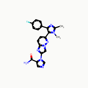 Cc1nc(-c2ccc(F)cc2)c(-c2ccc3nc(-n4cncc4C(N)=O)cn3n2)n1C